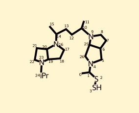 CC(SS)N1CC2CCN(C(C)CCC(C)N3CCC4C3CCN4C(C)C)C2C1